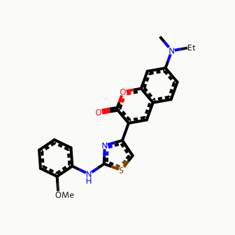 CCN(C)c1ccc2cc(-c3csc(Nc4ccccc4OC)n3)c(=O)oc2c1